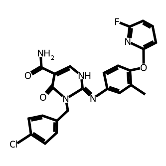 Cc1cc(/N=c2\[nH]cc(C(N)=O)c(=O)n2Cc2ccc(Cl)cc2)ccc1Oc1cccc(F)n1